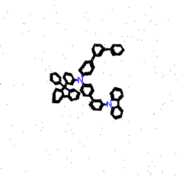 c1ccc(-c2cccc(-c3ccc(N(c4ccc(-c5cccc(-n6c7ccccc7c7ccccc76)c5)cc4)c4cccc(C5(c6ccccc6)c6ccccc6-c6ccccc65)c4)cc3)c2)cc1